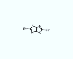 CC(C)c1nc2sc(C(C)C)nc2s1